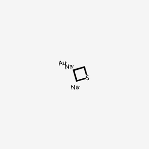 C1CSC1.[Au].[Na].[Na]